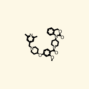 COc1cc(OC2CCN(Cc3cc(C)nc(C)c3)CC2)ccc1C(=O)N1CCC(N2C(=O)OCc3ccccc32)CC1